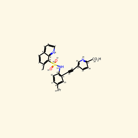 Cc1ccc2cccnc2c1S(=O)(=O)Nc1ccc(C(C)C)cc1C#Cc1ccc(C(=O)O)nc1